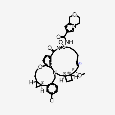 CO[C@H]1/C=C/CCCS(=O)(NC(=O)c2cc3n(c2)CCOC3)=NC(=O)c2ccc3c(c2)N(Cc2ccc(Cl)cc2[C@H]2C[C@H]2CCO3)C[C@@H]2CC[C@H]21